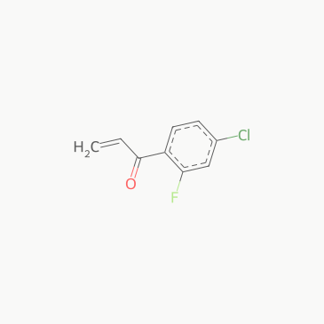 C=CC(=O)c1ccc(Cl)cc1F